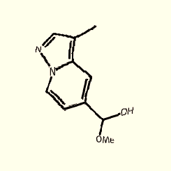 COC(O)c1ccn2ncc(C)c2c1